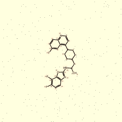 CC(CC1CCC(c2ccnc3ccc(F)cc23)CC1)Nc1nc2ccc(F)c(F)c2o1